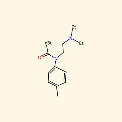 CCCCC(=O)N(CCN(CC)CC)c1ccc(C)cc1